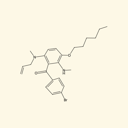 C=CCN(C)c1ccc(OCCCCCC)c(NC)c1C(=O)c1ccc(Br)cc1